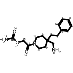 NCC1(CCc2ccccc2)CCN(C(=O)COC(N)=O)CC1